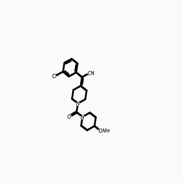 COC1CCN(C(=O)N2CCC(=C(C#N)c3cccc(Cl)c3)CC2)CC1